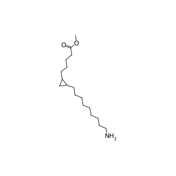 COC(=O)CCCCC1CC1CCCCCCCCCN